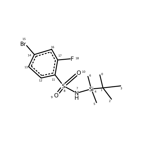 CC(C)(C)[Si](C)(C)NS(=O)(=O)c1ccc(Br)cc1F